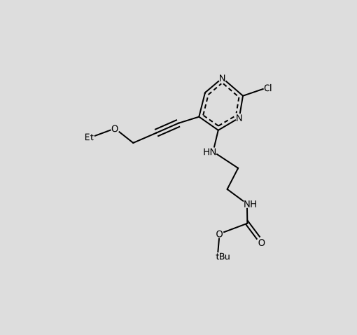 CCOCC#Cc1cnc(Cl)nc1NCCNC(=O)OC(C)(C)C